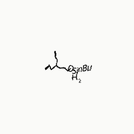 C=CCC(CC=C)CCCO[SiH2]CCCC